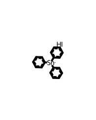 I.c1cc[c]([Sn]([c]2ccccc2)[c]2ccccc2)cc1